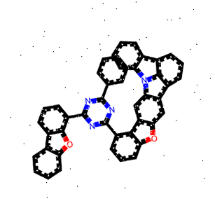 c1ccc(-c2nc(-c3cccc4c3oc3ccccc34)nc(-c3cccc4oc5cc6c7cccc8c9ccccc9n(c6cc5c34)c87)n2)cc1